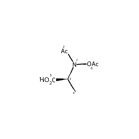 CC(=O)ON(C(C)=O)[C@@H](C)C(=O)O